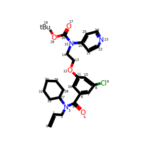 C=CCN(C(=O)c1cc(Cl)cc(OCCN(C(=O)OC(C)(C)C)c2ccncc2)c1)C1CCCCC1